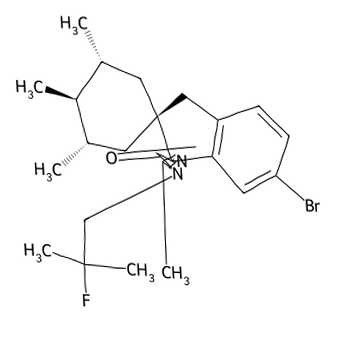 CC1=N[C@@]2(C(=O)N1CC(C)(C)F)c1cc(Br)ccc1C[C@@]21C[C@@H](C)[C@H](C)[C@@H](C)C1